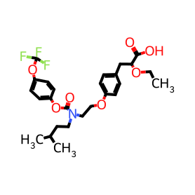 CCOC(Cc1ccc(OCCN(CCC(C)C)C(=O)Oc2ccc(OC(F)(F)F)cc2)cc1)C(=O)O